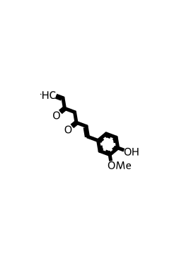 [CH]=CC(=O)CC(=O)C=Cc1ccc(O)c(OC)c1